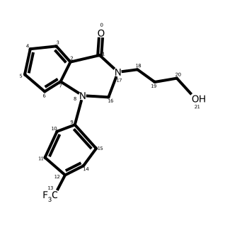 O=C1c2ccccc2N(c2ccc(C(F)(F)F)cc2)CN1CCCO